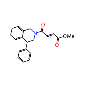 COC(=O)/C=C/C(=O)N1CC2=CCCC=C2C(c2ccccc2)C1